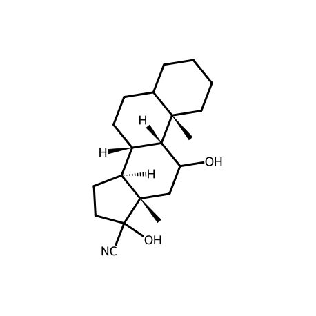 C[C@]12CCCCC1CC[C@@H]1[C@H]2C(O)C[C@@]2(C)[C@H]1CCC2(O)C#N